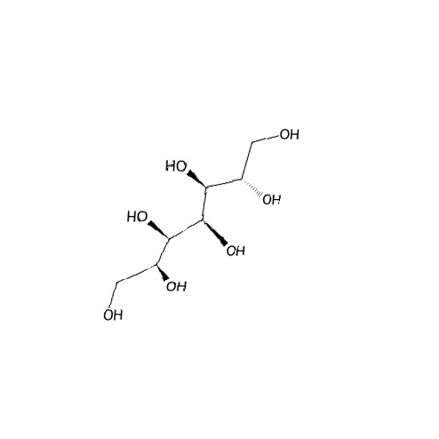 OC[C@H](O)[C@H](O)[C@@H](O)[C@H](O)[C@@H](O)CO